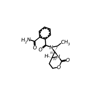 CC1N(C(=O)c2ccccc2C(N)=O)[C@@]12[C@@H]1CCOC(=O)N12